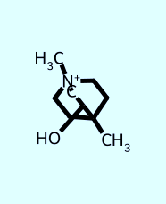 CC12CC[N+](C)(CC1)CC2O